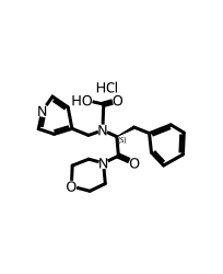 Cl.O=C([C@H](Cc1ccccc1)N(Cc1ccncc1)C(=O)O)N1CCOCC1